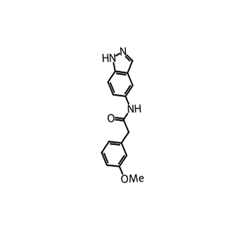 COc1cccc(CC(=O)Nc2ccc3[nH]ncc3c2)c1